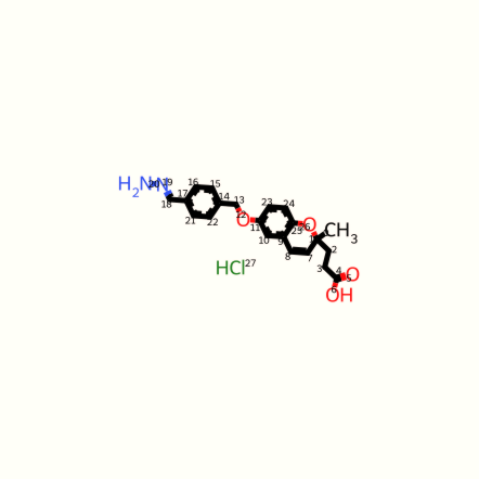 CC1(CCC(=O)O)C=Cc2cc(OCc3ccc(C=NN)cc3)ccc2O1.Cl